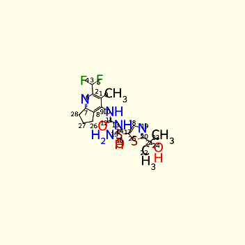 Cc1c(C(F)F)nc2c(c1NC(=O)N[SH](N)(=O)c1cnc(C(C)(C)O)s1)CCC2